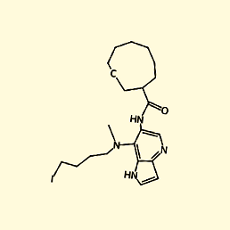 CN(CCCCI)c1c(NC(=O)C2CCCCCCCC2)cnc2cc[nH]c12